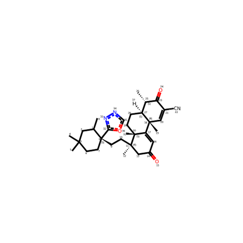 CC1CC(C)(C)CC[C@@]1(CC[C@]1(C)CC(=O)C=C2[C@@]3(C)C=C(C#N)C(=O)[C@@H](C)[C@@H]3CC[C@]21C)c1nnco1